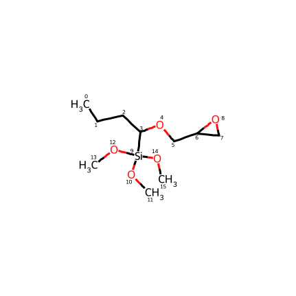 CCCC(OCC1CO1)[Si](OC)(OC)OC